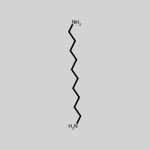 NCCCC[CH]CCCCCN